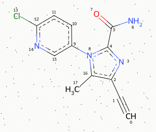 C#Cc1nc(C(N)=O)n(-c2ccc(Cl)nc2)c1C